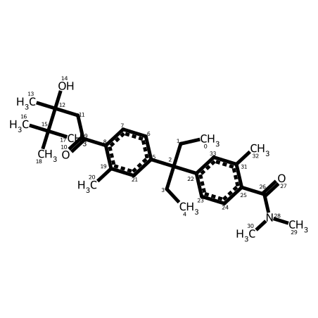 CCC(CC)(c1ccc(C(=O)CC(C)(O)C(C)(C)C)c(C)c1)c1ccc(C(=O)N(C)C)c(C)c1